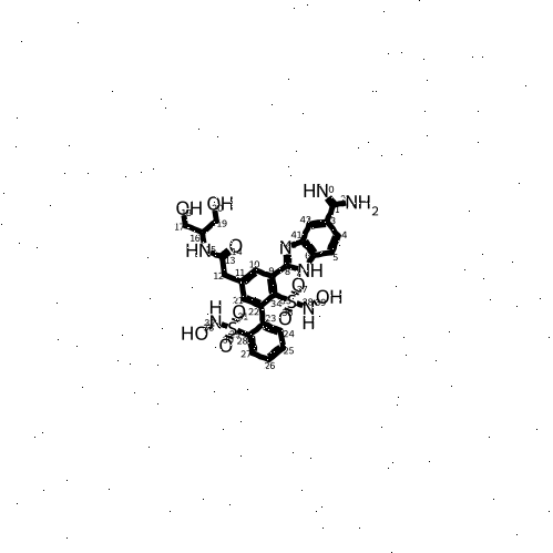 N=C(N)c1ccc2[nH]c(-c3cc(CC(=O)NC(CO)CO)cc(-c4ccccc4S(=O)(=O)NO)c3S(=O)(=O)NO)nc2c1